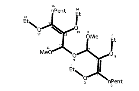 CCCCCC(OCC)=C(OCC)C(OC)OC(OC)C(OCC)=C(CCCCC)OCC